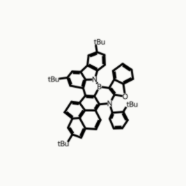 CC(C)(C)c1cc2ccc3c4c5c(c6ccc(c1)c2c36)N(c1ccccc1C(C)(C)C)c1oc2ccccc2c1B5n1c2ccc(C(C)(C)C)cc2c2cc(C(C)(C)C)cc-4c21